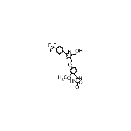 COc1cc(OCc2sc(-c3ccc(C(F)(F)F)cc3)nc2CO)ccc1-c1noc(=O)[nH]1